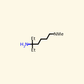 CCC(N)(CC)CCCCNC